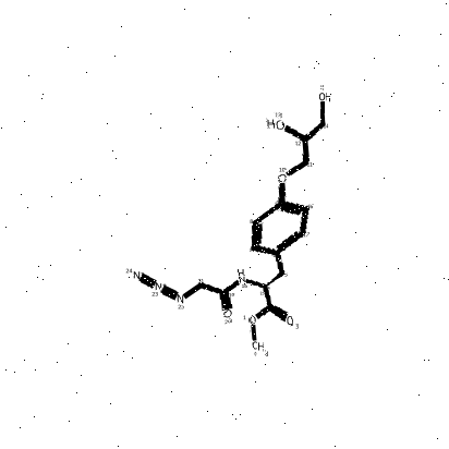 COC(=O)[C@H](Cc1ccc(OCC(O)CO)cc1)NC(=O)CN=[N+]=[N-]